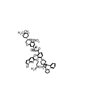 CC(C)c1ccccc1[C@@H]1CCCN1C1CC2(CCN(c3ccc(C(=O)NS(=O)(=O)c4cc5c(c([N+](=O)[O-])c4)N[C@@H](C4CCC(C)(C)CC4)CO5)c(Oc4cc5cc[nH]c5nc4OCCN(C)C)c3)CC2)C1